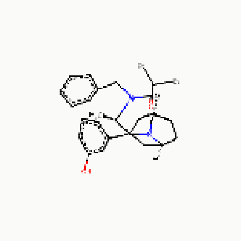 CCC(CC)C(=O)N(Cc1ccccc1)[C@H](C)CN1[C@@H]2CC[C@H]1C[C@@H](c1cccc(O)c1)C2